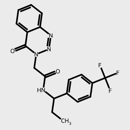 CCC(NC(=O)Cn1nnc2ccccc2c1=O)c1ccc(C(F)(F)F)cc1